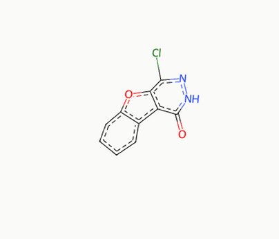 O=c1[nH]nc(Cl)c2oc3ccccc3c12